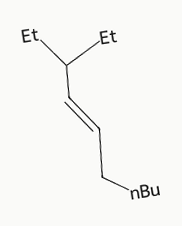 CCCCCC=CC(CC)CC